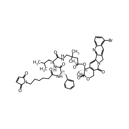 CC[C@@]1(OC(=O)CC(C)(C)CNC(=O)[C@H](CC(C)C)NC(=O)[C@H](Cc2ccccc2)NC(=O)CCCCCN2C(=O)C=CC2=O)C(=O)OCc2c1cc1n(c2=O)Cc2cc3c(Br)cccc3nc2-1